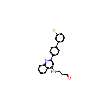 O=CCCNc1cc(-c2ccc(-c3cccc(F)c3)cc2)nc2ccccc12